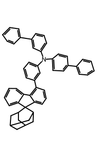 c1ccc(-c2ccc(N(c3cccc(-c4ccccc4)c3)c3cccc(-c4cccc5c4-c4ccccc4C54C5CC6CC(C5)CC4C6)c3)cc2)cc1